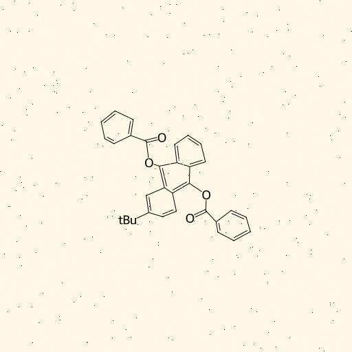 CC(C)(C)c1ccc2c(OC(=O)c3ccccc3)c3ccccc3c(OC(=O)c3ccccc3)c2c1